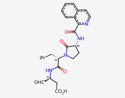 CC(C)C[C@@H](C(=O)N[C@H](C=O)CC(=O)O)N1CC[C@@H](NC(=O)c2nccc3ccccc23)C1=O